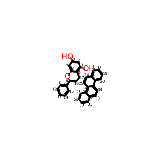 Oc1cc(O)c2c(c1)OC(c1ccccc1)CC2.c1ccc2c(c1)ccc1c3ccccc3ccc21